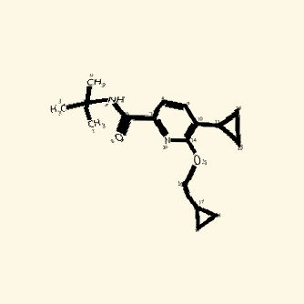 CC(C)(C)NC(=O)c1ccc(C2CC2)c(OCC2CC2)n1